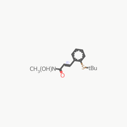 CN(O)C(=O)/C=C/c1ccccc1SC(C)(C)C